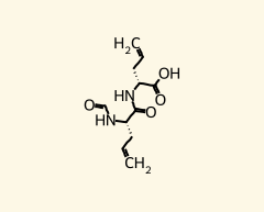 C=CC[C@H](NC=O)C(=O)N[C@H](CC=C)C(=O)O